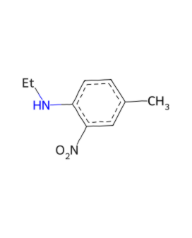 CCNc1ccc(C)cc1[N+](=O)[O-]